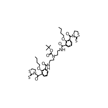 CCCCOc1c(C(=O)NCCN(CCNC(=O)c2cccc(C(=O)N3CCSC3=S)c2OCCCC)C(=O)OC(C)(C)C)cccc1C(=O)N1CCSC1=S